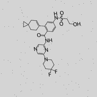 O=C(Nc1cncc(N2CCC(F)(F)CC2)n1)c1ccc(NS(=O)(=O)CCO)cc1C1=CCC2(CC1)CC2